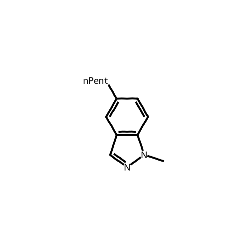 CCCCCc1ccc2c(cnn2C)c1